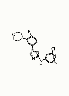 Cc1cc(Nc2ncn(-c3ccc(F)c(N4CCOCC4)c3)n2)cc(Cl)n1